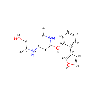 CCNC(CCNC(C)CO)Oc1ccccc1-c1ccoc1